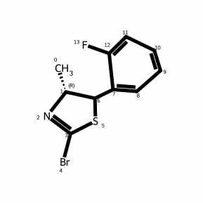 C[C@H]1N=C(Br)SC1c1ccccc1F